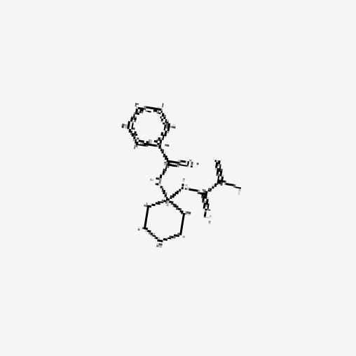 C=C(C)C(=O)OC1(OC(=O)c2ccccc2)CCCCC1